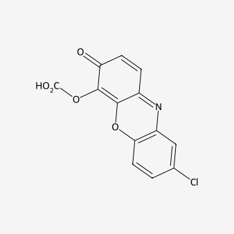 O=C(O)Oc1c2oc3ccc(Cl)cc3nc-2ccc1=O